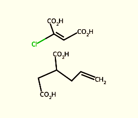 C=CCC(CC(=O)O)C(=O)O.O=C(O)/C=C(/Cl)C(=O)O